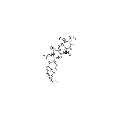 C[C@H]1CC2(CCN(c3nc(N)c(Sc4cccc(N)c4Cl)c(=O)n3C)CC2)CO1